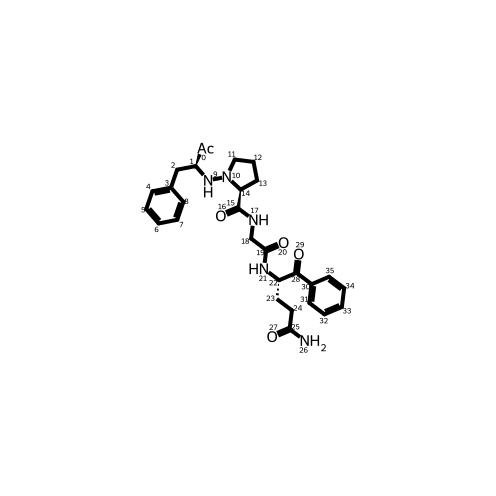 CC(=O)[C@H](Cc1ccccc1)NN1CCC[C@H]1C(=O)NCC(=O)N[C@@H](CCC(N)=O)C(=O)c1ccccc1